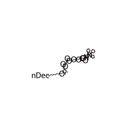 CCCCCCCCCCCCCCCCCCOc1cc(COC(=O)CCC(=O)OCCOCCOCCOC(=O)N2CCN(C(c3ccccc3)(c3ccccc3)c3ccccc3)CC2)cc(C)c1C